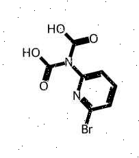 O=C(O)N(C(=O)O)c1cccc(Br)n1